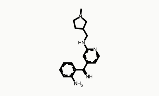 CN1CCC(CNc2cc(C(=N)c3ccccc3N)ccn2)C1